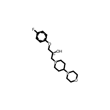 O[C@H](COc1ccc(F)cc1)CN1CCC(N2CCOCC2)CC1